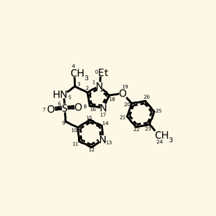 CCn1c(C(C)NS(=O)(=O)Cc2ccncc2)cnc1Oc1ccc(C)cc1